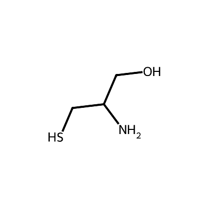 NC(CO)CS